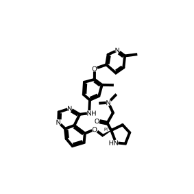 Cc1ccc(Oc2ccc(Nc3ncnc4cccc(OC[C@@]5(C(=O)CN(C)C)CCCN5)c34)cc2C)cn1